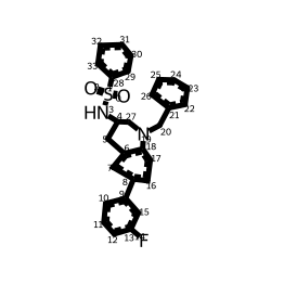 O=S(=O)(NC1Cc2cc(-c3cccc(F)c3)ccc2N(Cc2ccccc2)C1)c1ccccc1